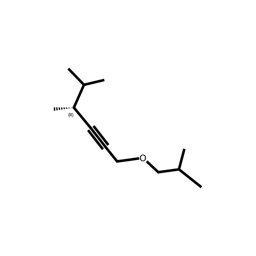 CC(C)COCC#C[C@H](C)C(C)C